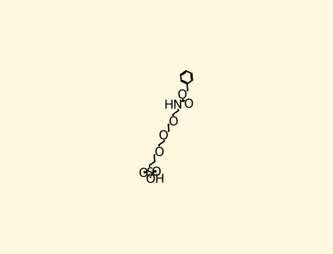 O=C(NCCOCCOCCOCCCS(=O)(=O)O)OCc1ccccc1